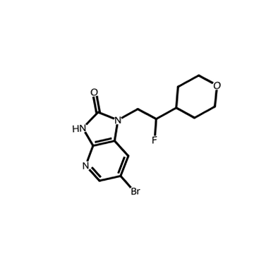 O=c1[nH]c2ncc(Br)cc2n1CC(F)C1CCOCC1